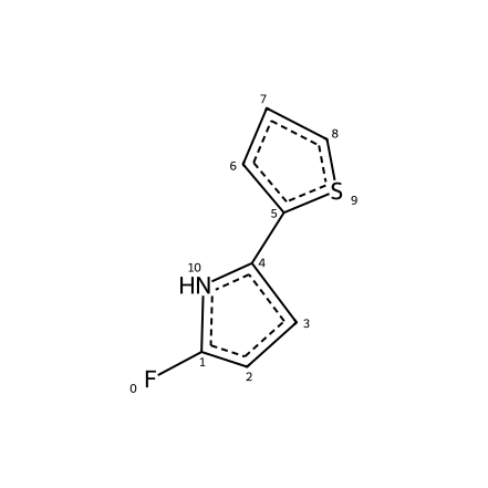 Fc1ccc(-c2cccs2)[nH]1